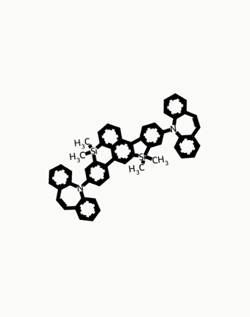 C[Si]1(C)c2cc(N3c4ccccc4C=Cc4ccccc43)ccc2-c2c1cc1c3c(cccc23)[Si](C)(C)c2cc(N3c4ccccc4C=Cc4ccccc43)ccc2-1